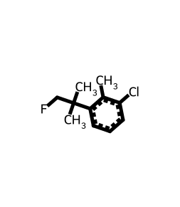 Cc1c(Cl)cccc1C(C)(C)CF